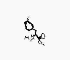 COC(=O)[C@@H](N)Cc1cccc(F)c1